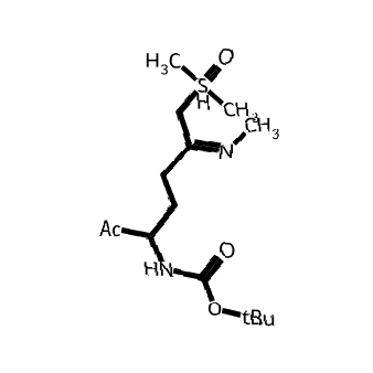 CN=C(CCC(NC(=O)OC(C)(C)C)C(C)=O)C[SH](C)(C)=O